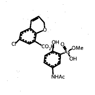 CO[As](=O)(O)c1cc(NC(C)=O)ccc1O.O=C(O)c1cc(Cl)cc2c1OCC=C2